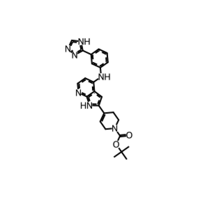 CC(C)(C)OC(=O)N1CC=C(c2cc3c(Nc4cccc(-c5nnc[nH]5)c4)ccnc3[nH]2)CC1